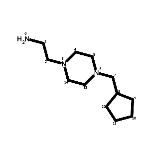 NCCN1CCN(CC2CCCC2)CC1